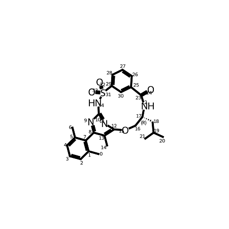 Cc1cccc(C)c1-c1nc2nc(c1C)OC[C@@H](CC(C)C)NC(=O)c1cccc(c1)S(=O)(=O)N2